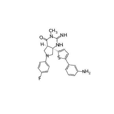 CN1C(=N)N[C@@]2(c3ccc(-c4cccc(N)c4)s3)CN(c3ccc(F)cc3)C[C@H]2C1=O